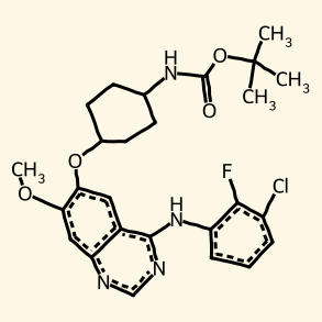 COc1cc2ncnc(Nc3cccc(Cl)c3F)c2cc1OC1CCC(NC(=O)OC(C)(C)C)CC1